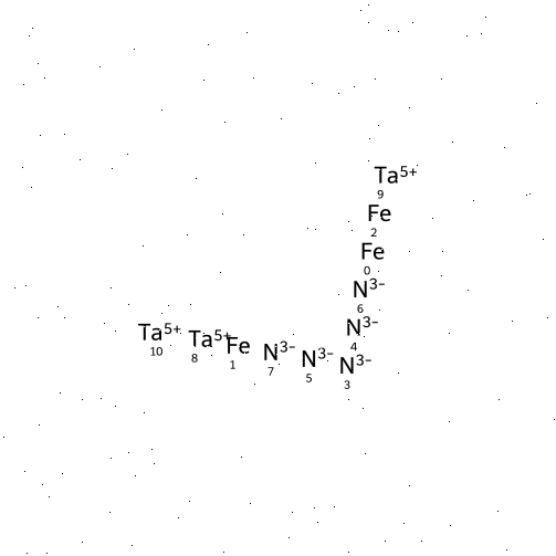 [Fe].[Fe].[Fe].[N-3].[N-3].[N-3].[N-3].[N-3].[Ta+5].[Ta+5].[Ta+5]